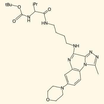 Cc1nnc2c(NCCCCNC(=O)C(NC(=O)OC(C)(C)C)C(C)C)nc3cc(N4CCOCC4)ccc3n12